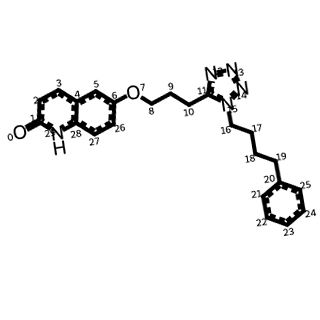 O=c1ccc2cc(OCCCc3nnnn3CCCCc3ccccc3)ccc2[nH]1